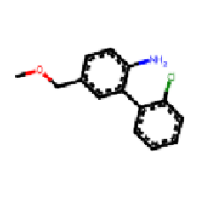 COCc1ccc(N)c(-c2ccccc2Cl)c1